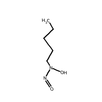 CCCCCN(O)N=O